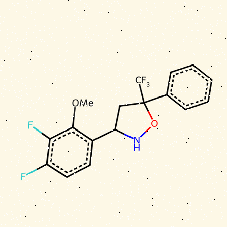 COc1c(C2CC(c3ccccc3)(C(F)(F)F)ON2)ccc(F)c1F